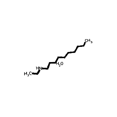 CCCCCCCCCCNCC.O